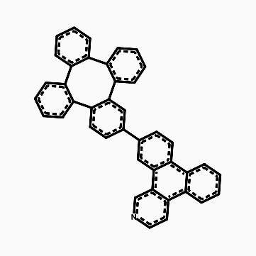 c1ccc2c(c1)-c1ccccc1-c1ccc(-c3ccc4c5ccccc5c5ccncc5c4c3)cc1-c1ccccc1-2